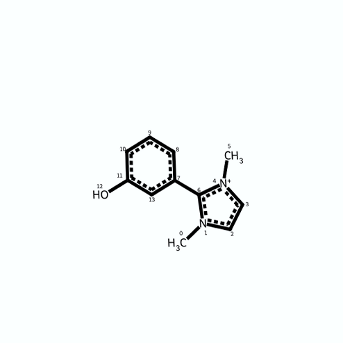 Cn1cc[n+](C)c1-c1cccc(O)c1